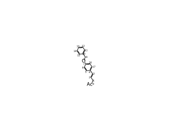 CC(=O)CC=Cc1ccc(OCc2ccccc2)cc1